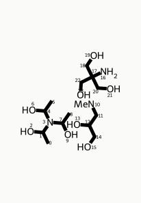 CC(O)N(C(C)O)C(C)O.CNCC(O)CO.NC(CO)(CO)CO